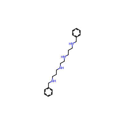 c1ccc(CNCCCNCCNCCCNCc2ccccc2)cc1